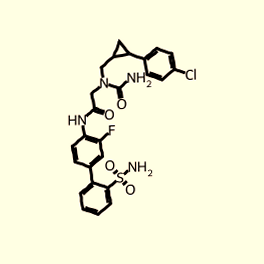 NC(=O)N(CC(=O)Nc1ccc(-c2ccccc2S(N)(=O)=O)cc1F)CC1CC1c1ccc(Cl)cc1